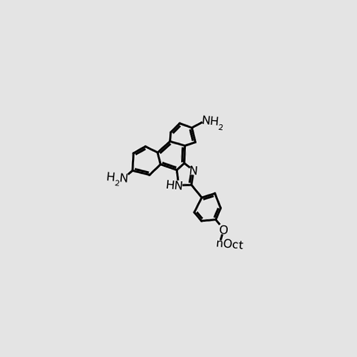 CCCCCCCCOc1ccc(-c2nc3c4cc(N)ccc4c4ccc(N)cc4c3[nH]2)cc1